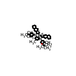 Cc1cc2c3c(c1)N(c1ccc(C(C)(C)C)c(C)c1)c1c(sc4cc5ccccc5cc14)B3c1sc3cc4ccccc4cc3c1N2c1ccc(C(C)(C)C)cc1